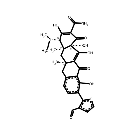 B[C@@]12Cc3ccc(-c4occc4C=O)c(O)c3C(=O)C1=C(O)[C@]1(O)C(=O)C(C(N)=O)=C(O)[C@@H](N(C)C)[C@]1(C)C2